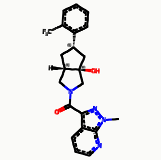 Cn1nc(C(=O)N2C[C@@H]3C[C@H](c4ccccc4C(F)(F)F)C[C@]3(O)C2)c2cccnc21